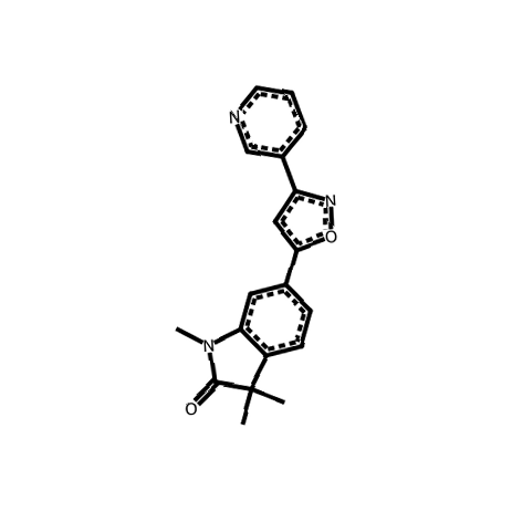 CN1C(=O)C(C)(C)c2ccc(-c3cc(-c4cccnc4)no3)cc21